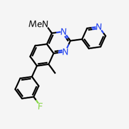 CNc1nc(-c2cccnc2)nc2c(C)c(-c3cccc(F)c3)ccc12